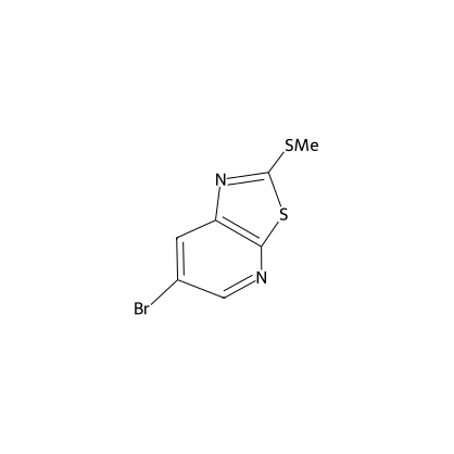 CSc1nc2cc(Br)cnc2s1